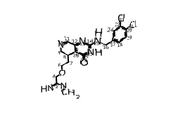 C=NC(=N)COCCC1CN=Cc2nc(NCc3ccc(Cl)c(Cl)c3)[nH]c(=O)c21